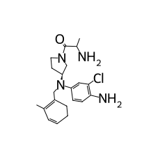 CC1=C(CN(c2ccc(N)c(Cl)c2)[C@H]2CCN(C(=O)C(C)N)C2)CCC=C1